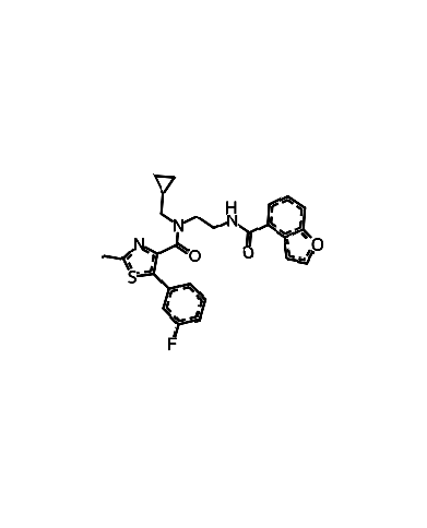 Cc1nc(C(=O)N(CCNC(=O)c2cccc3occc23)CC2CC2)c(-c2cccc(F)c2)s1